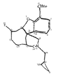 COc1cccc2c1OC1C(F)CCC3CN(CC4CC4)CCC231